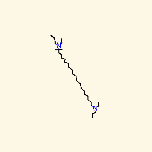 CCCN(CC)CCCCCCCCCCCCCCCCCCCC(C)(C)N(CC)CCC